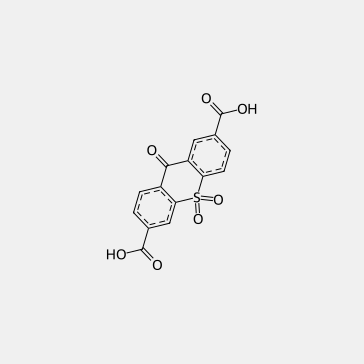 O=C(O)c1ccc2c(c1)C(=O)c1ccc(C(=O)O)cc1S2(=O)=O